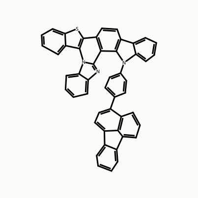 c1ccc2c(c1)-c1cccc3c(-c4ccc(-n5c6ccccc6c6ccc7c8sc9ccccc9c8n8c9ccccc9nc8c7c65)cc4)ccc-2c13